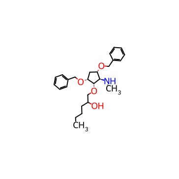 CCCCC(O)CO[C@H]1[C@H](NC)[C@@H](OCc2ccccc2)C[C@H]1OCc1ccccc1